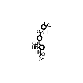 COc1cc(NC(=O)C2CCC(n3c(=O)[nH]c4c(NC(=O)CN(C)C)cccc43)CC2)ccc1C